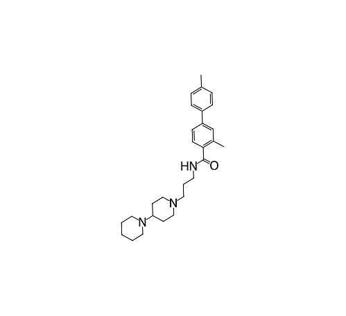 Cc1ccc(-c2ccc(C(=O)NCCCN3CCC(N4CCCCC4)CC3)c(C)c2)cc1